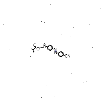 C=C(C)C(=O)OCCN(C)c1ccc(/N=N/c2ccc(C#N)cc2)cc1